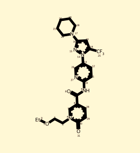 CCOCCn1cc(C(=O)Nc2ccc(-n3nc(N4CCCCC4)cc3C(F)(F)F)cn2)ccc1=O